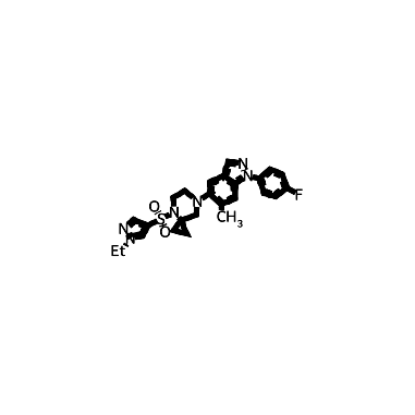 CCn1cc(S(=O)(=O)N2CCN(c3cc4cnn(-c5ccc(F)cc5)c4cc3C)CC23CC3)cn1